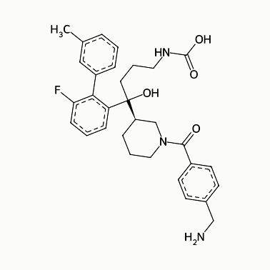 Cc1cccc(-c2c(F)cccc2C(O)(CCCNC(=O)O)[C@@H]2CCCN(C(=O)c3ccc(CN)cc3)C2)c1